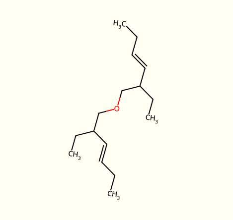 CCC=CC(CC)COCC(C=CCC)CC